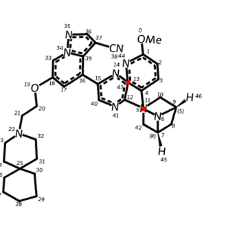 COc1ccc(CN2[C@@H]3C[C@H]2CN(c2cnc(-c4cc(OCCN5CCC6(CCCCC6)CC5)cn5ncc(C#N)c45)cn2)C3)cn1